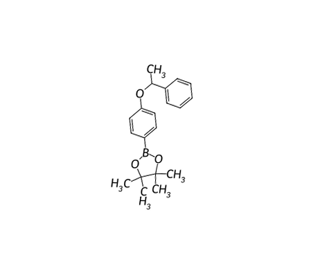 CC(Oc1ccc(B2OC(C)(C)C(C)(C)O2)cc1)c1ccccc1